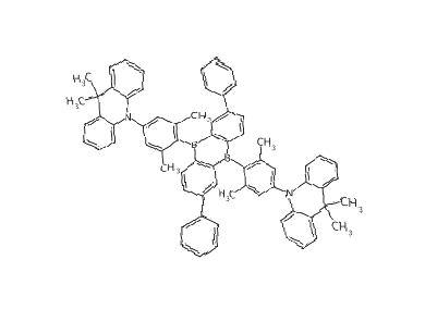 Cc1cc(N2c3ccccc3C(C)(C)c3ccccc32)cc(C)c1B1c2ccc(-c3ccccc3)cc2B(c2c(C)cc(N3c4ccccc4C(C)(C)c4ccccc43)cc2C)c2ccc(-c3ccccc3)cc21